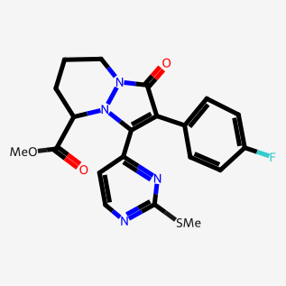 COC(=O)C1CCCn2c(=O)c(-c3ccc(F)cc3)c(-c3ccnc(SC)n3)n21